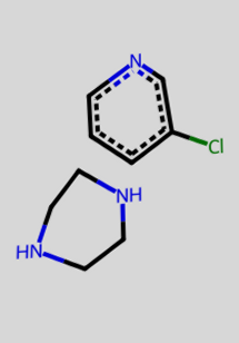 C1CNCCN1.Clc1cccnc1